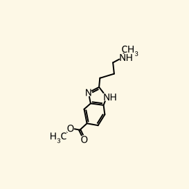 CNCCCc1nc2cc(C(=O)OC)ccc2[nH]1